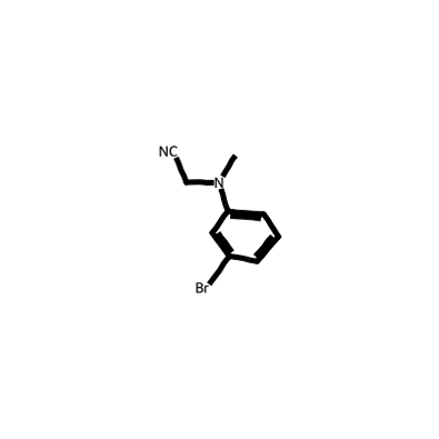 CN(CC#N)c1cccc(Br)c1